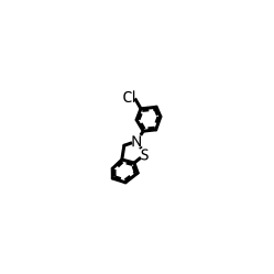 Clc1cccc(N2Cc3ccccc3S2)c1